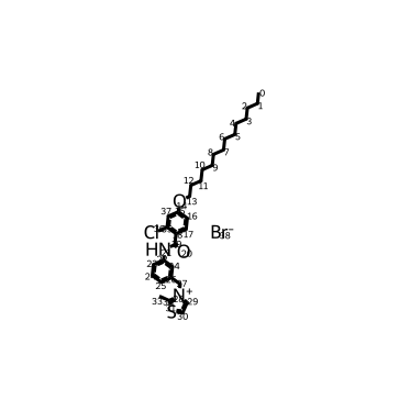 CCCCCCCCCCCCCCOc1ccc(C(=O)Nc2cccc(C[n+]3ccsc3C)c2)c(Cl)c1.[Br-]